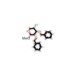 CO[C@@H]1OC[C@H](F)[C@H](OCc2ccccc2)[C@@H]1OCc1ccccc1